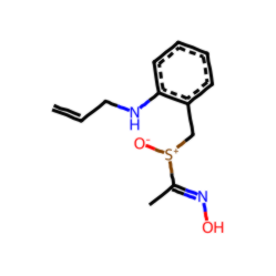 C=CCNc1ccccc1C[S+]([O-])C(C)=NO